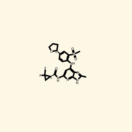 Cc1nc2c(Nc3ccc([C@@H]4CCCO4)cc3S(C)(=O)=O)cc(NC(=O)[C@H]3CC3(F)F)nc2[nH]1